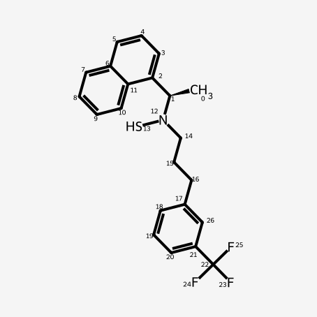 C[C@H](c1cccc2ccccc12)N(S)CCCc1cccc(C(F)(F)F)c1